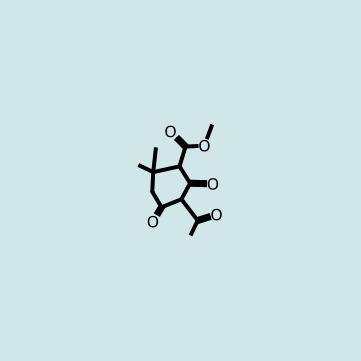 COC(=O)C1C(=O)C(C(C)=O)C(=O)CC1(C)C